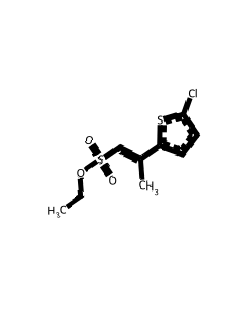 CCOS(=O)(=O)/C=C(\C)c1ccc(Cl)s1